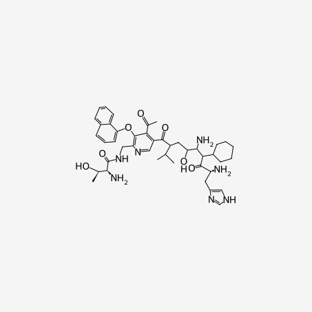 CC(=O)c1c(C(=O)C(CC(O)C(N)C(C(=O)[C@@H](N)Cc2c[nH]cn2)C2CCCCC2)C(C)C)cnc(CNC(=O)[C@@H](N)[C@@H](C)O)c1Oc1cccc2ccccc12